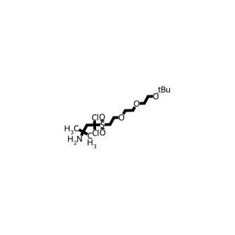 CC(C)(N)CC(Cl)(Cl)S(=O)(=O)CCOCCOCCOC(C)(C)C